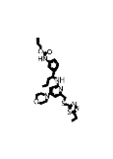 C=CCOC(=O)Nc1cccc(C(CCC)Nc2cc(N3CCOCC3)cc(CSc3nnc(CC)s3)n2)c1